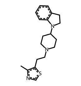 Cc1ncsc1CCN1CCC(N2CCc3ccccc32)CC1